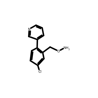 NOCc1cc(Cl)ccc1-c1cccnc1